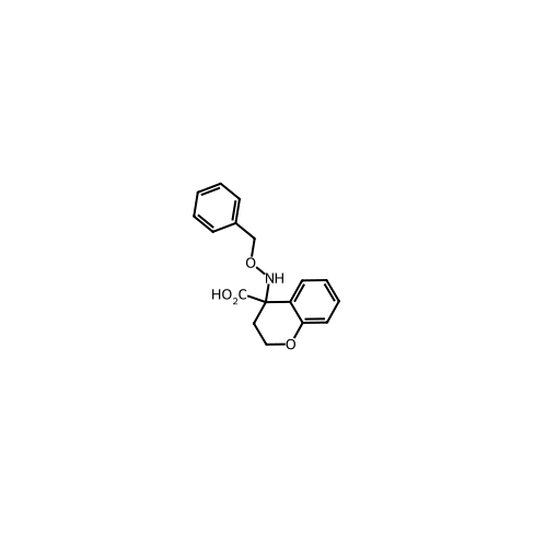 O=C(O)C1(NOCc2ccccc2)CCOc2ccccc21